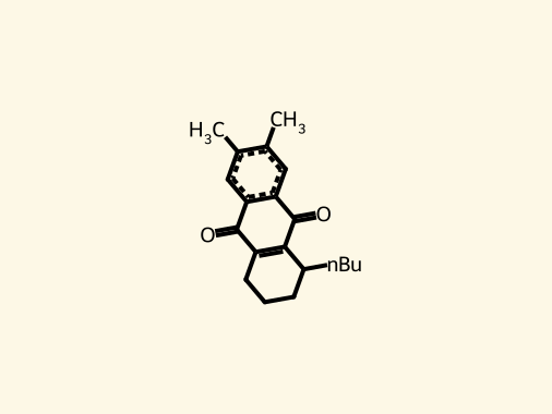 CCCCC1CCCC2=C1C(=O)c1cc(C)c(C)cc1C2=O